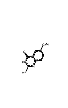 CCCc1nc2ccc(OC)cc2c(=O)[nH]1